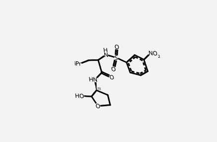 CC(C)CC(NS(=O)(=O)c1cccc([N+](=O)[O-])c1)C(=O)N[C@H]1CCOC1O